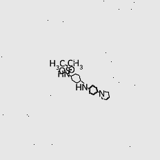 CC(C)S(=O)(=O)NC1CCC(CNc2ccc(N3CC=CCC3)cc2)CC1